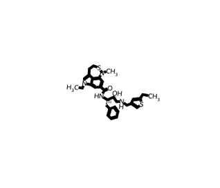 CCc1cc(CNC[C@@H](O)[C@H](Cc2ccccc2)NC(=O)c2cc3c4c(cn(CC)c4c2)CCSN3C)cs1